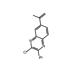 C=C(C)c1ccc2nc(C(C)C)c(Cl)nc2c1